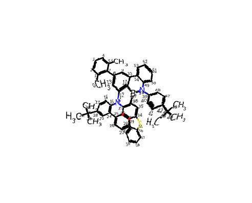 Cc1cccc(C)c1-c1cc2c3c(c1)N(c1ccc(C(C)(C)C)cc1-c1ccccc1)c1cc4c(cc1B3N(c1ccc(C(C)(C)C)cc1)c1ccccc1-2)sc1ccccc14